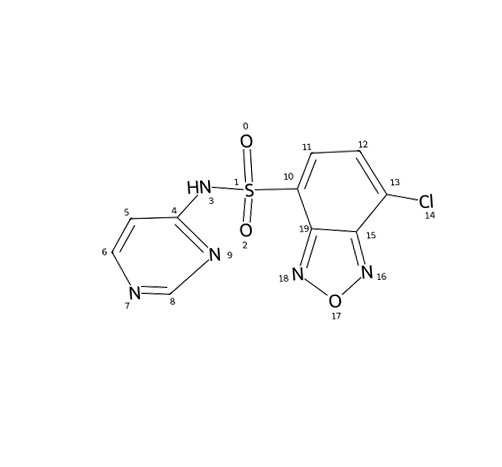 O=S(=O)(Nc1ccncn1)c1ccc(Cl)c2nonc12